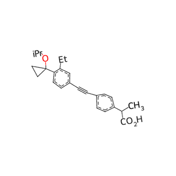 CCc1cc(C#Cc2ccc(C(C)C(=O)O)cc2)ccc1C1(OC(C)C)CC1